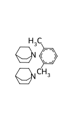 C1CN2CCC1CC2.C1CN2CCC1CC2.Cc1cccc(C)c1